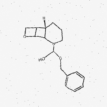 OC(OCc1ccccc1)N1CCC[C@H]2C3COC3C21